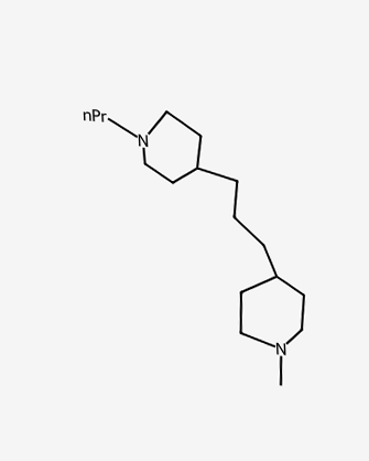 CCCN1CCC(CCCC2CCN(C)CC2)CC1